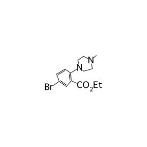 CCOC(=O)c1cc(Br)ccc1N1CCN(C)CC1